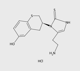 Cl.NCCc1c[nH]c(=S)n1[C@@H]1CSc2ccc(O)cc2C1